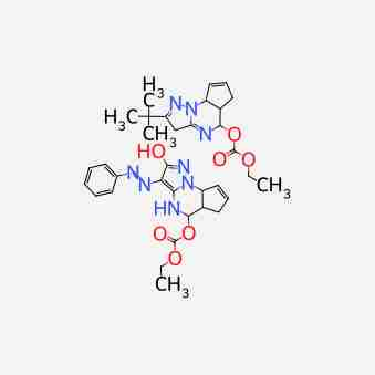 CCOC(=O)OC1N=C2CC(C(C)(C)C)=NN2C2C=CCC12.CCOC(=O)OC1Nc2c(N=Nc3ccccc3)c(O)nn2C2C=CCC12